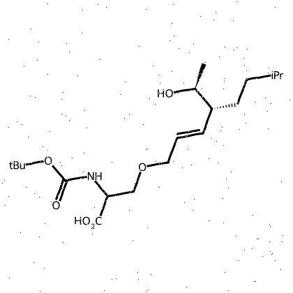 CC(C)CC[C@H](/C=C/COCC(NC(=O)OC(C)(C)C)C(=O)O)[C@H](C)O